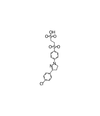 O=S(=O)(O)CCS(=O)(=O)c1ccc(N2CCC(c3ccc(Cl)cc3)=N2)cc1